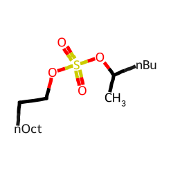 CCCCCCCCCCOS(=O)(=O)OC(C)CCCC